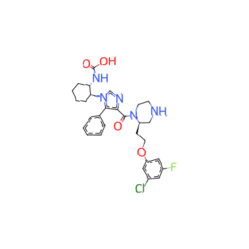 O=C(O)N[C@H]1CCCC[C@@H]1n1cnc(C(=O)N2CCNC[C@H]2CCOc2cc(F)cc(Cl)c2)c1-c1ccccc1